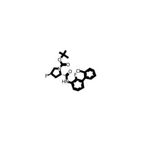 CC(C)(C)OC(=O)N1C[C@H](F)C[C@H]1C(=O)Nc1cccc(-c2ccccc2Cl)c1F